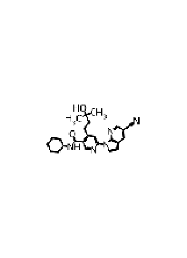 CC(C)(O)CCc1cc(-n2ccc3cc(C#N)cnc32)ncc1C(=O)NC1CCCCC1